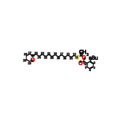 CCCCc1ccccc1C(=O)OC(C)SCCCCCCCCCCCCCC1CCCCO1